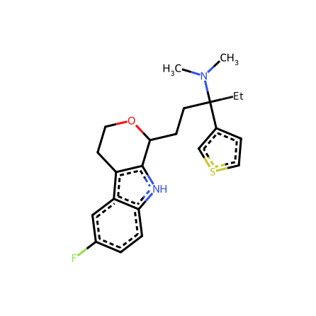 CCC(CCC1OCCc2c1[nH]c1ccc(F)cc21)(c1ccsc1)N(C)C